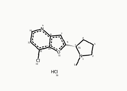 CN1CCC[C@H]1c1cc2nccc(Cl)c2o1.Cl